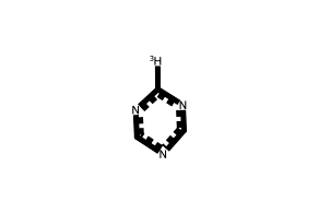 [3H]c1ncncn1